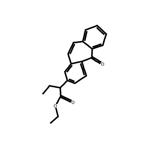 CCOC(=O)C(CC)c1ccc2c(=O)c3ccccc3ccc2c1